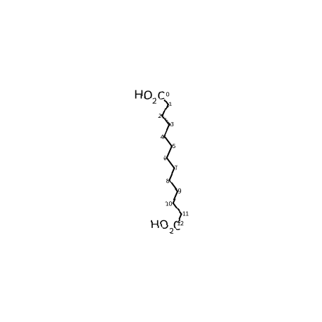 O=C(O)[CH]CCCCCCCCCCC(=O)O